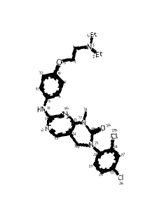 CCN(CC)CCOc1ccc(Nc2ncc3c(n2)N(C)C(=O)N(c2ccc(Cl)cc2Cl)C3)cc1